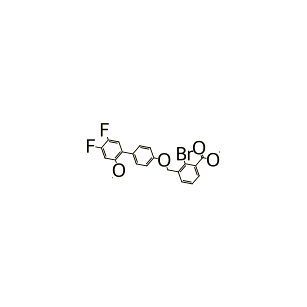 COC(=O)c1cccc(COc2ccc(-c3cc(F)c(F)cc3OC)cc2)c1Br